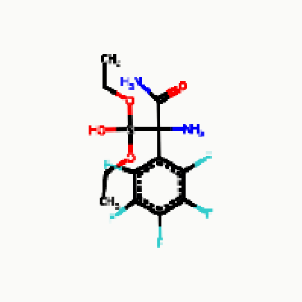 CCO[Si](O)(OCC)C(N)(C(N)=O)c1c(F)c(F)c(F)c(F)c1F